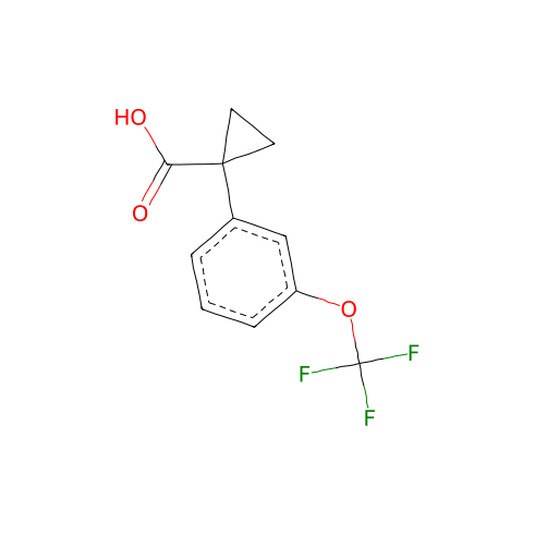 O=C(O)C1(c2cccc(OC(F)(F)F)c2)CC1